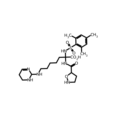 Cc1cc(C)c(S(=O)(=O)NC(CCCCCNC2N=CCCN2)(NC(=O)C2CCNO2)C(=O)O)c(C)c1